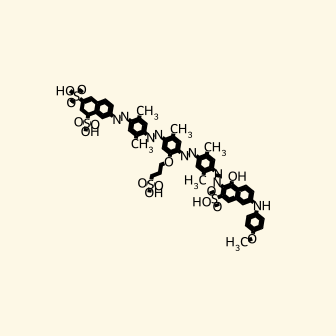 COc1ccc(Nc2ccc3c(O)c(N=Nc4cc(C)c(N=Nc5cc(C)c(N=Nc6cc(C)c(N=Nc7ccc8c(c7)C(S(=O)(=O)O)CC(S(=O)(=O)O)=C8)cc6C)cc5OCCCS(=O)(=O)O)cc4C)c(S(=O)(=O)O)cc3c2)cc1